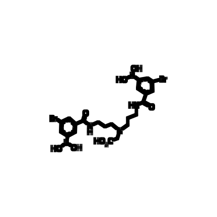 O=C(O)CN(CCCNC(=O)c1cc(Br)cc(B(O)O)c1)CCCNC(=O)c1cc(Br)cc(B(O)O)c1